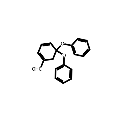 O=CC1=CC=CC(Oc2ccccc2)(Oc2ccccc2)C1